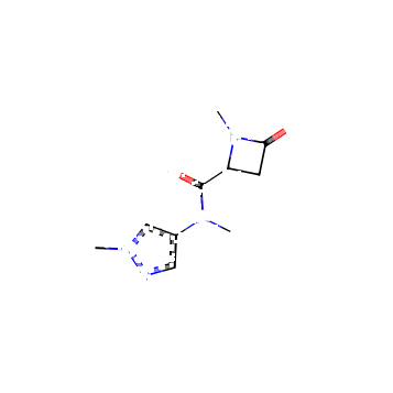 CN(C(=O)C1CC(=O)N1C)c1cnn(C)c1